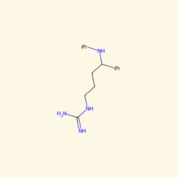 CC(C)NC(CCCNC(=N)N)C(C)C